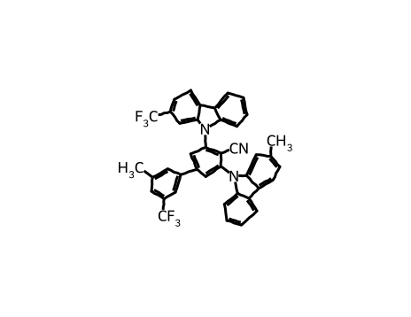 Cc1cc(-c2cc(-n3c4ccccc4c4ccc(C)cc43)c(C#N)c(-n3c4ccccc4c4ccc(C(F)(F)F)cc43)c2)cc(C(F)(F)F)c1